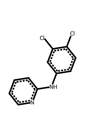 Clc1ccc(Nc2ccccn2)cc1Cl